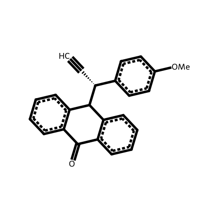 C#C[C@H](c1ccc(OC)cc1)C1c2ccccc2C(=O)c2ccccc21